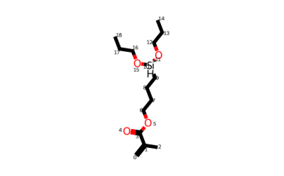 C=C(C)C(=O)OCCCC[SiH](OCCC)OCCC